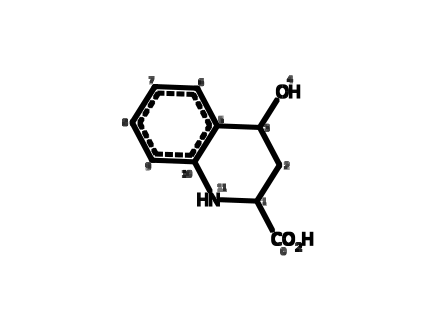 O=C(O)C1CC(O)c2ccccc2N1